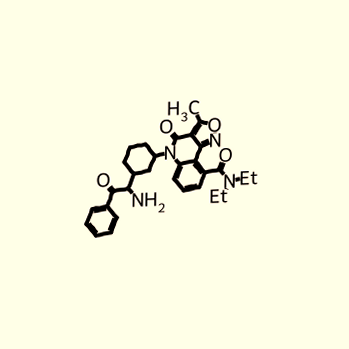 CCN(CC)C(=O)c1cccc2c1c1noc(C)c1c(=O)n2C1CCCC(C(N)C(=O)c2ccccc2)C1